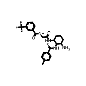 Cc1ccc(C(=S)NC2C(N)CCCC2NC(=O)CNC(=O)c2cccc(C(F)(F)F)c2)cc1